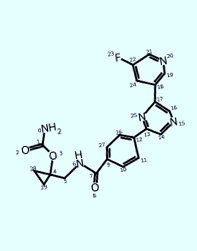 NC(=O)OC1(CNC(=O)c2ccc(-c3cncc(-c4cncc(F)c4)n3)cc2)CC1